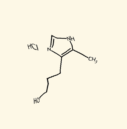 Cc1[nH]cnc1CCCO.Cl